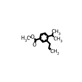 C=CCc1cc(C(=O)OC)ccc1C(C)C